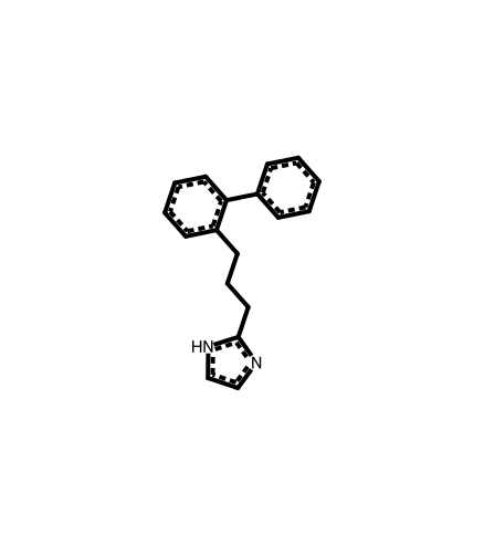 c1ccc(-c2ccccc2CCCc2ncc[nH]2)cc1